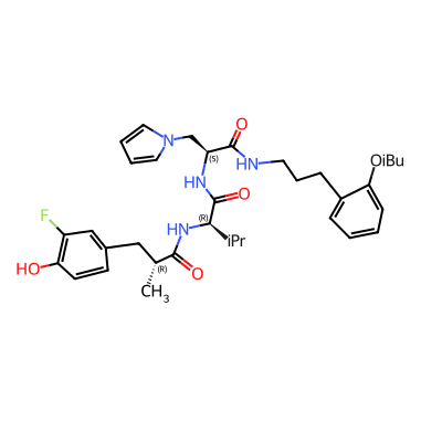 CC(C)COc1ccccc1CCCNC(=O)[C@H](Cn1cccc1)NC(=O)[C@H](NC(=O)[C@H](C)Cc1ccc(O)c(F)c1)C(C)C